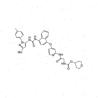 Cc1ccc(-n2nc(C(C)(C)C)cc2NC(=O)Nc2ccc(Oc3ccnc(NC(=O)CNC(=O)OC4CCOCC4)c3)c3ccccc23)cc1